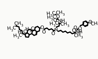 COc1ccc(COC(=O)NC(C)(C)CCCCCCCN(CCC(C)(C)NC(=O)OC(C)(C)C)C(=O)CCCC(=O)OC2CCC3(C)C(=CCC4C3CCC3(C)C4CCC3[C@H](C)CCCC(C)C)C2)cc1